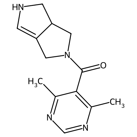 Cc1ncnc(C)c1C(=O)N1CC2=CNCC2C1